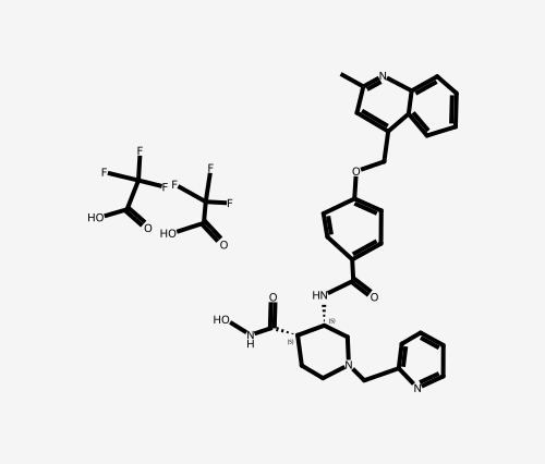 Cc1cc(COc2ccc(C(=O)N[C@@H]3CN(Cc4ccccn4)CC[C@@H]3C(=O)NO)cc2)c2ccccc2n1.O=C(O)C(F)(F)F.O=C(O)C(F)(F)F